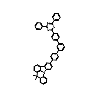 CC1(C)c2ccccc2-n2c3ccc(-c4ccc(-c5cccc(-c6ccc(-c7nc(-c8ccccc8)nc(-c8ccccc8)n7)cc6)c5)cc4)cc3c3cccc1c32